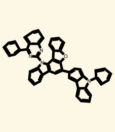 c1ccc(-c2nc(-n3c4ccccc4c4cc(-c5ccc6c(c5)c5ccccc5n6-c5ccccc5)c5oc6ccccc6c5c43)nc3ccccc23)cc1